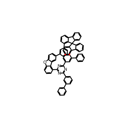 c1ccc(-c2cccc(-c3nc(-c4cccc(-c5ccccc5)c4)nc(-c4cccc5oc6ccc(-c7cccc(-c8cccc9c8C8(c%10ccccc%10-c%10ccccc%108)c8ccccc8-9)c7)cc6c45)n3)c2)cc1